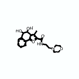 Cc1c(C(=O)NCCN2CCOCC2)oc2c1C(O)C(O)c1ccccc1-2